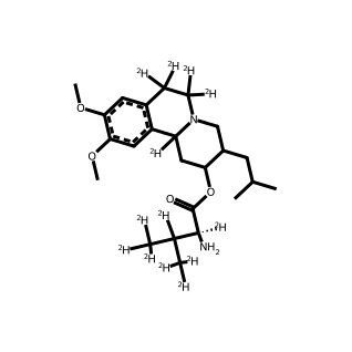 [2H]C12CC(OC(=O)[C@@]([2H])(N)C([2H])(C([2H])([2H])[2H])C([2H])([2H])[2H])C(CC(C)C)CN1C([2H])([2H])C([2H])([2H])c1cc(OC)c(OC)cc12